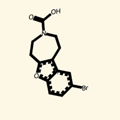 O=C(O)N1CCc2oc3ccc(Br)cc3c2CC1